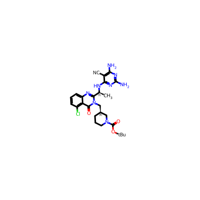 C[C@H](Nc1nc(N)nc(N)c1C#N)c1nc2cccc(Cl)c2c(=O)n1C[C@@H]1CCCN(C(=O)OC(C)(C)C)C1